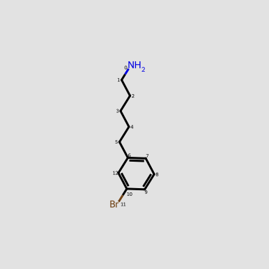 NCCCCCc1cccc(Br)c1